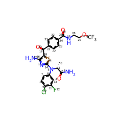 C[C@H](C(N)=O)N(c1ccc(Cl)c(F)c1)c1nc(N)c(C(=O)c2ccc(C(=O)NCCOC(F)(F)F)cc2)s1